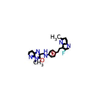 Cc1ccc2ncc(F)c(CCC34CCC(NCc5nc6cccnc6n(C)c5=O)(CC3)CO4)c2n1